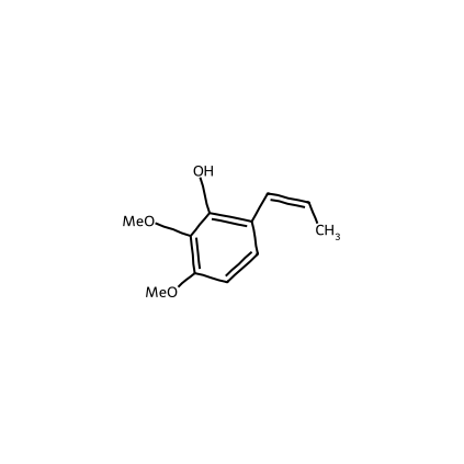 C/C=C\c1ccc(OC)c(OC)c1O